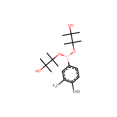 CC(C)(O)C(C)(C)OB(OC(C)(C)C(C)(C)O)c1ccc(C=O)c(C(F)(F)F)c1